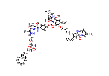 COc1cc2c(cc1OCCCCCOc1cc3c(cc1OC)C(=O)N1C=C(C)C[C@H]1[C@H](O)N3C(=O)OCc1ccc(NC(=O)[C@H](C)NC(=O)[C@@H](NC(=O)COCCNS(=O)(=O)NC(=O)OCC3[C@H]4CCC#CCC[C@@H]34)C(C)C)cc1)N=C[C@@H]1CC(C)=CN1C2=O